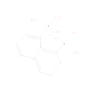 CC(C)(O)c1cccc2cccc(C(C)(C)O)c12